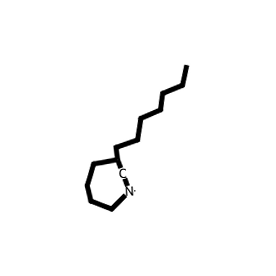 CCCCCCCC1CCCC[N]C1